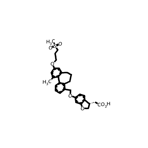 Cc1cc(OCCCS(C)(=O)=O)cc2c1-c1cccc(COc3ccc4c(c3)OC[C@H]4CC(=O)O)c1CCC2